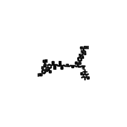 CC1=C(C)C(=O)C(C(C)(C)CCN(C)CCN(CCOCCOCCC(=O)NCCNC(=O)c2ccc3c(c2)C(=O)OC32c3ccc(O)cc3Oc3cc(O)ccc32)C(=O)Oc2ccc3nc(C4=NC(C(=O)O)CS4)sc3c2)=C(C)C1=O